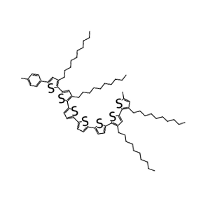 CCCCCCCCCCc1cc(C)sc1-c1cc(CCCCCCCCCC)c(-c2ccc(-c3ccc(-c4ccc(-c5sc(-c6sc(-c7ccc(C)cc7)cc6CCCCCCCCCC)cc5CCCCCCCCCC)s4)s3)s2)s1